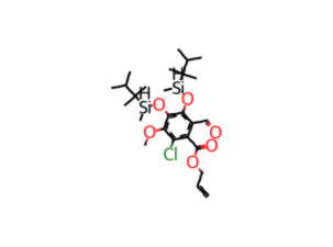 C=CCOC(=O)c1c(Cl)c(OC)c(O[SiH](C)C(C)(C)C(C)C)c(O[SiH](C)C(C)(C)C(C)C)c1C=O